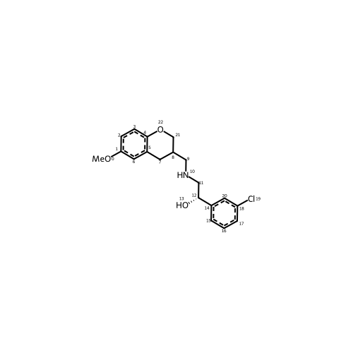 COc1ccc2c(c1)CC(CNC[C@@H](O)c1cccc(Cl)c1)CO2